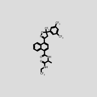 CC(NC(=O)c1ccc(C2=NOC(c3cc(C(F)(F)F)cc(C(F)(F)F)c3)(C(F)(F)F)C2)c2ccccc12)C(=O)NCC(F)(F)F